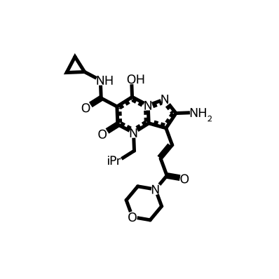 CC(C)Cn1c(=O)c(C(=O)NC2CC2)c(O)n2nc(N)c(C=CC(=O)N3CCOCC3)c12